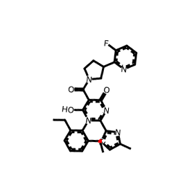 CCc1cccc(CC)c1-n1c(-c2nc(C)cs2)nc(=O)c(C(=O)N2CCC(c3ncccc3F)C2)c1O